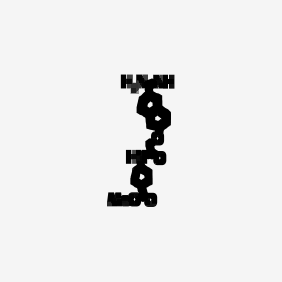 COC(=O)C1CCC(NC(=O)COc2ccc3cc(C(=N)N)ccc3c2)CC1